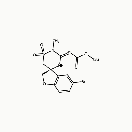 CN1/C(=N/C(=O)OC(C)(C)C)N[C@@]2(COc3ccc(Br)cc32)CS1(=O)=O